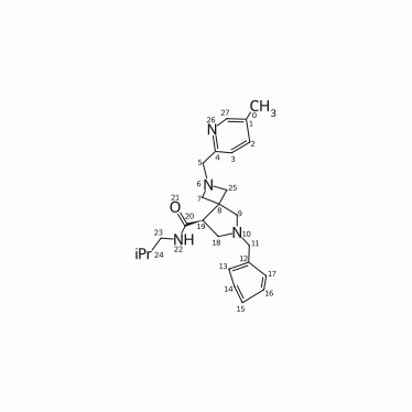 Cc1ccc(CN2CC3(CN(Cc4ccccc4)C[C@H]3C(=O)NCC(C)C)C2)nc1